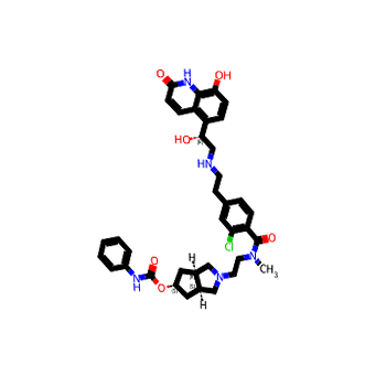 CN(CCN1C[C@H]2C[C@H](OC(=O)Nc3ccccc3)C[C@H]2C1)C(=O)c1ccc(CCNC[C@H](O)c2ccc(O)c3[nH]c(=O)ccc23)cc1Cl